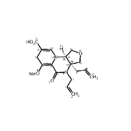 C=CCN1C(=O)C2=C(OC)CC(C(=O)O)=CN2[C@H]2COC[C@]21CC=C